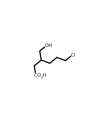 O=C(O)CC(CO)CCCCl